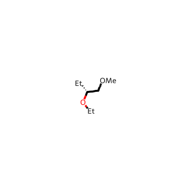 CCO[C@H](CC)COC